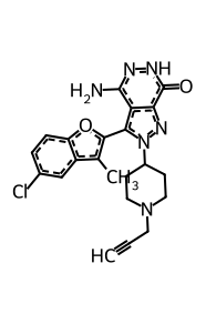 C#CCN1CCC(n2nc3c(=O)[nH]nc(N)c3c2-c2oc3ccc(Cl)cc3c2C)CC1